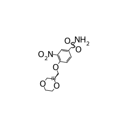 NS(=O)(=O)c1ccc(OC[C@@H]2COCCO2)c([N+](=O)[O-])c1